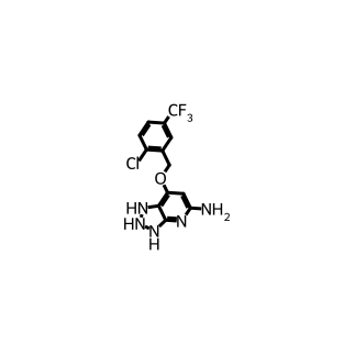 Nc1cc(OCc2cc(C(F)(F)F)ccc2Cl)c2c(n1)NNN2